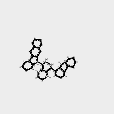 c1ccc2cc3c(cc2c1)c1ccccc1n3C1=c2nccnc2=C(c2cccc3c2sc2ccccc23)NN1